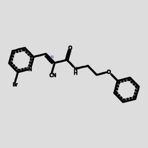 N#C/C(=C\c1cccc(Br)n1)C(=O)NCCOc1ccccc1